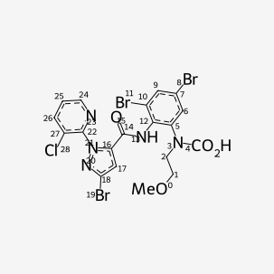 COCCN(C(=O)O)c1cc(Br)cc(Br)c1NC(=O)c1cc(Br)nn1-c1ncccc1Cl